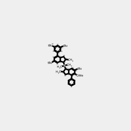 COC1=C(c2ccccc2)C2CC(C)C(S(C)(C)C3C(C)CC4C(c5cc(C(C)(C)C)cc(C(C)(C)C)c5)=CC(C(C)(C)C)=CC43)C2C=C1C(C)(C)C